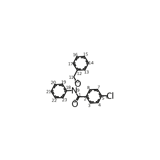 O=C(c1ccc(Cl)cc1)N(OCc1ccccc1)c1ccccc1